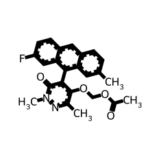 CC(=O)OCOc1c(C)nn(C)c(=O)c1-c1c2cc(C)ccc2cc2ccc(F)cc12